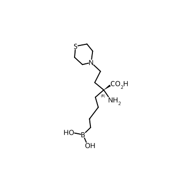 N[C@](CCCCB(O)O)(CCN1CCSCC1)C(=O)O